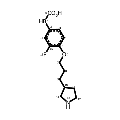 O=C(O)Bc1ccc(OCCCC2CCNC2)c(F)c1